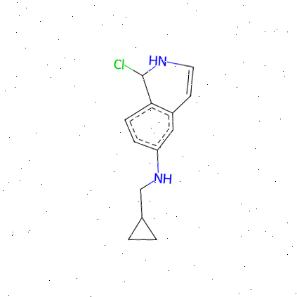 ClC1NC=Cc2cc(NCC3CC3)ccc21